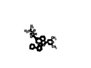 C[C@@H]1CN(C(=O)[C@@H]2CC=CC3=C4C(=C4C(=O)NS(=O)(=O)N(C)C)Cn4c(cc5cccc(C6CCCCC6)c54)C32)C[C@H](C)O1